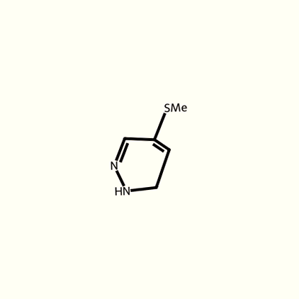 CSC1=CCNN=C1